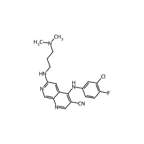 CN(C)CCCNc1cc2c(Nc3ccc(F)c(Cl)c3)c(C#N)cnc2cn1